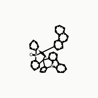 O=P1(c2ccccc2)c2ccccc2C2(c3ccccc3-n3c4ccccc4c4cccc2c43)c2cc(-c3ccc4ccc5ccccc5c4c3)ccc21